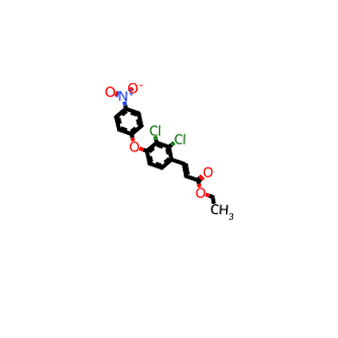 CCOC(=O)C=Cc1ccc(Oc2ccc([N+](=O)[O-])cc2)c(Cl)c1Cl